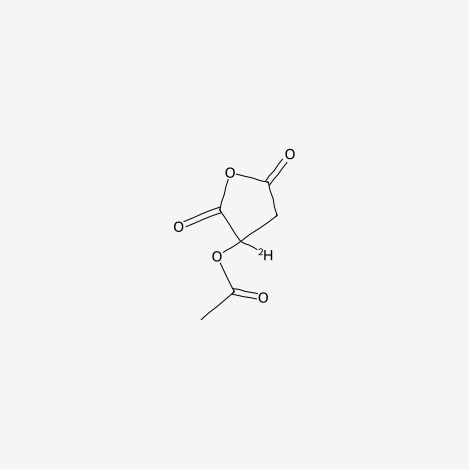 [2H]C1(OC(C)=O)CC(=O)OC1=O